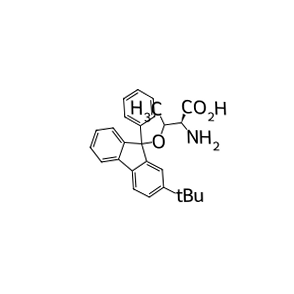 CC(OC1(c2ccccc2)c2ccccc2-c2ccc(C(C)(C)C)cc21)[C@H](N)C(=O)O